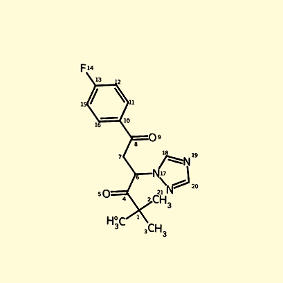 CC(C)(C)C(=O)C(CC(=O)c1ccc(F)cc1)n1cncn1